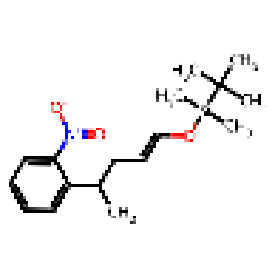 CC(CC=CO[Si](C)(C)C(C)(C)C)c1ccccc1[N+](=O)[O-]